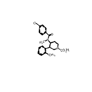 Cc1ccccc1C1CN(C(=O)O)CCC1N(C)C(=O)c1ccc(Cl)cc1